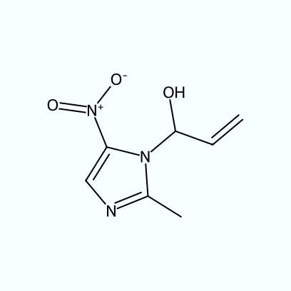 C=CC(O)n1c([N+](=O)[O-])cnc1C